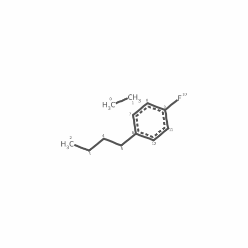 CC.CCCCc1ccc(F)cc1